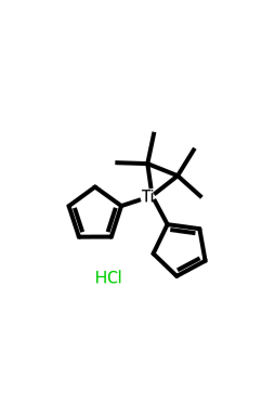 C[C]1(C)[C](C)(C)[Ti]1([C]1=CC=CC1)[C]1=CC=CC1.Cl